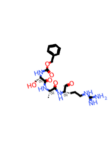 C[C@H](NC(=O)[C@H](CO)NC(=O)OCc1ccccc1)C(=O)N[C@H]([C]=O)CCCNC(=N)N